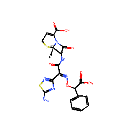 Nc1nc(C(=NOC(C(=O)O)c2ccccc2)C(=O)NC2C(=O)N3C(C(=O)O)=CCS[C@@H]23)ns1